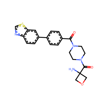 NC1(C(=O)N2CCN(C(=O)c3ccc(-c4ccc5ncsc5c4)cc3)CC2)COC1